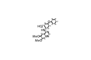 COc1cc2ncnc(Nc3ccc(Oc4ccccc4)cc3)c2cc1OC.Cl